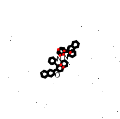 c1cc(-c2ccc3ccccc3c2)cc(N(c2ccccc2-c2cccc3oc4cc5ccccc5cc4c23)c2ccccc2-n2c3ccccc3c3ccccc32)c1